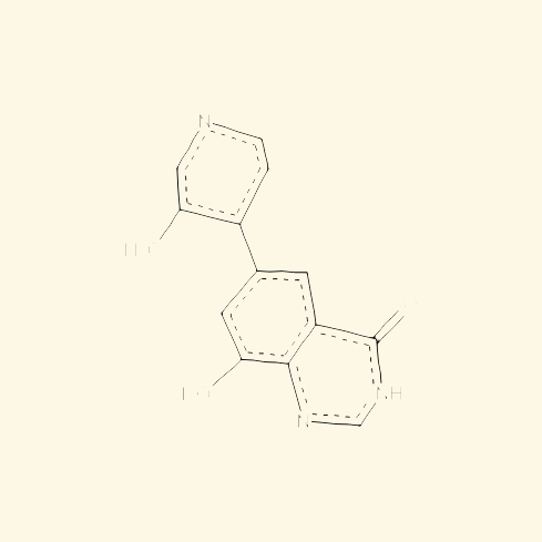 Cc1cnccc1-c1cc(O)c2nc[nH]c(=O)c2c1